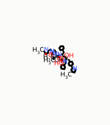 Cc1ccnc(-c2ccc(C[C@@H]([C@@H](O)C[C@H](Cc3ccccc3)NC(=O)[C@@H](N3CCN(Cc4cccc(C)n4)C3=O)C(C)(C)C)N(Cc3ccccc3)C(=O)O)cc2)c1